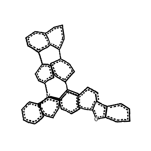 c1ccc(N(c2ccccc2)c2ccc(-c3cccc4cccc(-c5ccc(N(c6ccccc6)c6ccc7c(c6)oc6ccccc67)cc5)c34)cc2)cc1